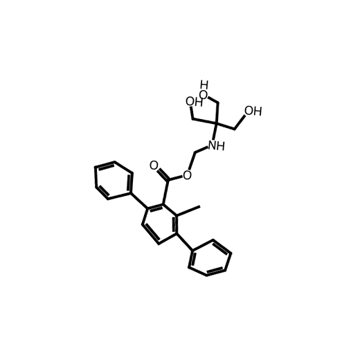 Cc1c(-c2ccccc2)ccc(-c2ccccc2)c1C(=O)OCNC(CO)(CO)CO